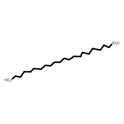 O=S(=O)(O)CCCCCCCCCCCCCCCCCCCCS(=O)(=O)O